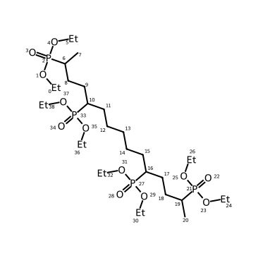 CCOP(=O)(OCC)C(C)CCC(CCCCCC(CCC(C)P(=O)(OCC)OCC)P(=O)(OCC)OCC)P(=O)(OCC)OCC